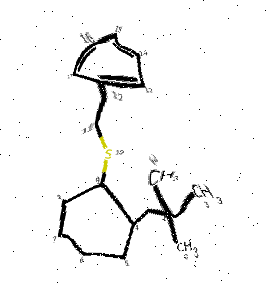 CC(C)(C)C1CCCCC1SCc1ccccc1